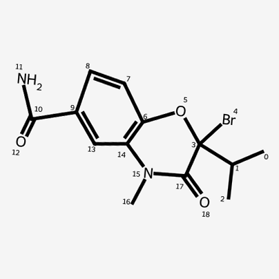 CC(C)C1(Br)Oc2ccc(C(N)=O)cc2N(C)C1=O